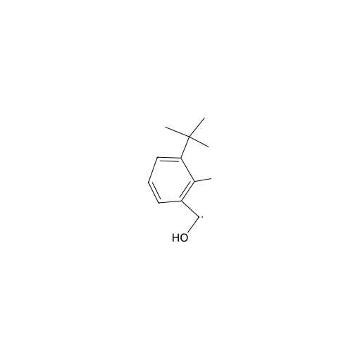 Cc1c([CH]O)cccc1C(C)(C)C